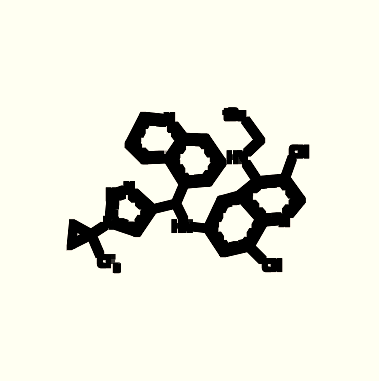 CC(C)(C)CNc1c(C#N)cnc2c(C#N)cc(NC(c3cn(C4(C(F)(F)F)CC4)nn3)c3cccc4ncccc34)cc12